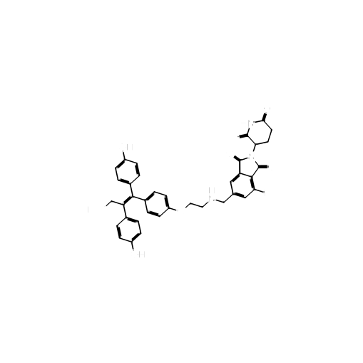 CCC(=C(c1ccc(O)cc1)c1ccc(OCCNCc2cc(F)c3c(c2)C(=O)N(C2CCC(=O)NC2=O)C3=O)cc1)c1ccc(O)cc1